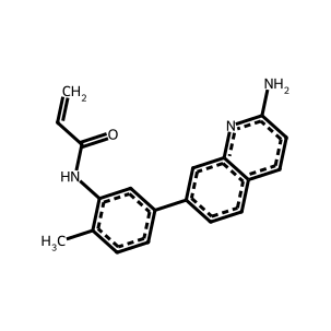 C=CC(=O)Nc1cc(-c2ccc3ccc(N)nc3c2)ccc1C